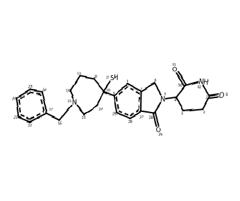 O=C1CCC(N2Cc3cc(C4(S)CCCN(Cc5ccccc5)CC4)ccc3C2=O)C(=O)N1